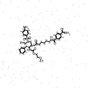 CCOCCOC(=O)N[C@@H](Cc1ccccc1)[C@H](CC(=O)CCCCCNC(=O)c1ccc(C(N)=O)cc1)CN(CC(C)C)S(=O)(=O)c1ccc(N)cc1